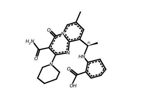 Cc1cc([C@@H](C)Nc2ccccc2C(=O)O)c2nc(N3CCCCC3)c(C(N)=O)c(=O)n2c1